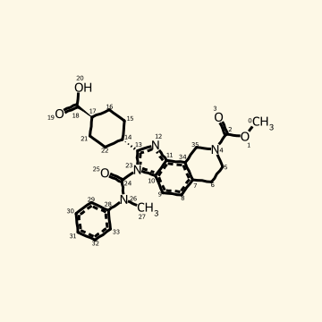 COC(=O)N1CCc2ccc3c(nc([C@H]4CC[C@H](C(=O)O)CC4)n3C(=O)N(C)c3ccccc3)c2C1